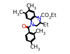 CCOC(=O)N1c2cc(C)c(C)cc2N(C(=O)c2ccc(C)cc2C)CC1CC